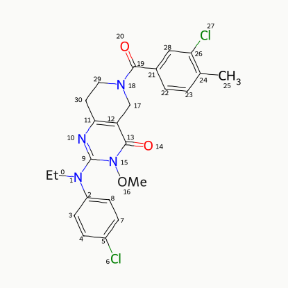 CCN(c1ccc(Cl)cc1)c1nc2c(c(=O)n1OC)CN(C(=O)c1ccc(C)c(Cl)c1)CC2